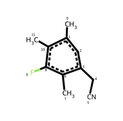 Cc1cc(CC#N)c(C)c(F)c1C